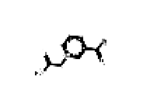 NC(=O)C[n+]1cccc(C(=O)Br)c1